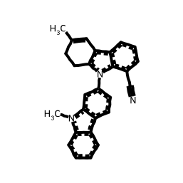 CC1=Cc2c(n(-c3ccc4c5ccccc5n(C)c4c3)c3c(C#N)cccc23)CC1